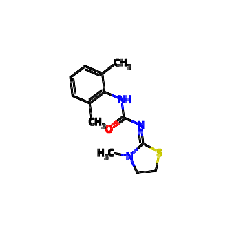 Cc1cccc(C)c1NC(=O)/N=C1/SCCN1C